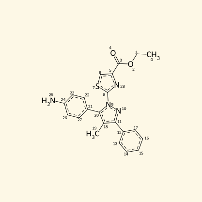 CCOC(=O)c1csc(-n2nc(-c3ccccc3)c(C)c2-c2ccc(N)cc2)n1